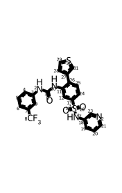 O=C(Nc1cccc(C(F)(F)F)c1)Nc1cc(S(=O)(=O)Nc2cccnc2)ccc1-c1ccsc1